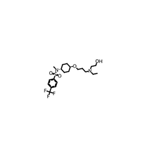 CCN(CCO)CCCO[C@H]1CC[C@H](N(C)S(=O)(=O)c2ccc(C(F)(F)F)cc2)CC1